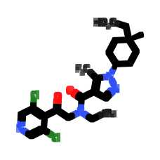 CC(C)(C)CN(CC(=O)c1c(Cl)cncc1Cl)C(=O)c1cnn([C@H]2CC[C@](C)(CC(=O)O)CC2)c1C(F)(F)F